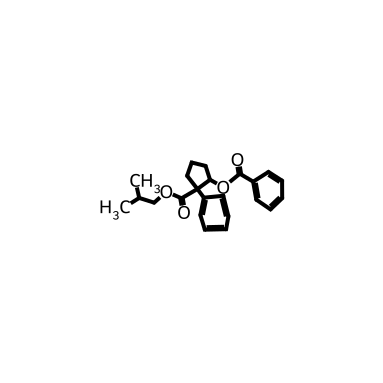 CC(C)COC(=O)C1(c2ccccc2)CCCC1OC(=O)c1ccccc1